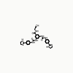 C#CCNC(=O)c1cc(NC(=O)Nc2ccc(C3=NCCN3)cc2)cc(NC(=O)Nc2ccc(C3=NCCN3)cc2)c1